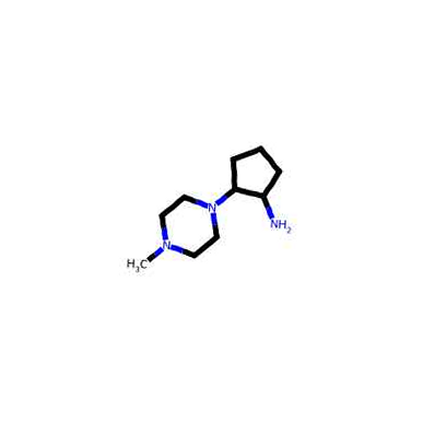 CN1CCN(C2CCCC2N)CC1